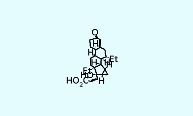 CC[C@H]1CC2=CC(=O)CC[C@@H]2[C@H]2CC[C@@]3(CC)[C@@H]([C@@H]4C[C@@H]4[C@@]3(O)/C=C\C(=O)O)[C@H]12